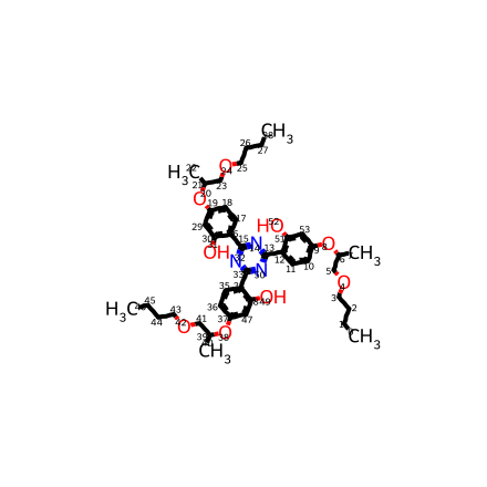 CCCCOCC(C)Oc1ccc(-c2nc(-c3ccc(OC(C)COCCCC)cc3O)nc(-c3ccc(OC(C)COCCCC)cc3O)n2)c(O)c1